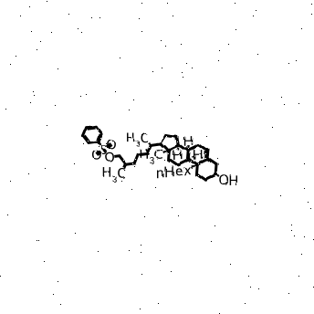 CCCCCC[C@]12CC[C@H](O)CC1=CC[C@@H]1[C@@H]2CC[C@]2(C)[C@@H]([C@H](C)CCCC(C)COS(=O)(=O)c3ccccc3)CC[C@@H]12